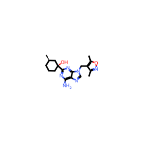 Cc1noc(C)c1Cn1cnc2c(N)nc([C@]3(O)CCC[C@@H](C)C3)nc21